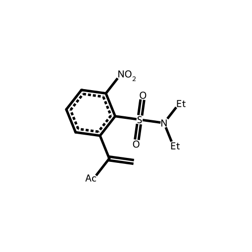 C=C(C(C)=O)c1cccc([N+](=O)[O-])c1S(=O)(=O)N(CC)CC